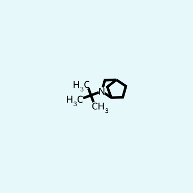 CC(C)(C)N1CC2CCC1C2